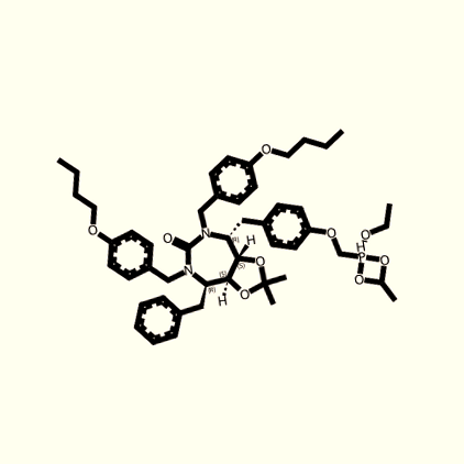 CCCCOc1ccc(CN2C(=O)N(Cc3ccc(OCCCC)cc3)[C@H](Cc3ccc(OC[PH]4(OCC)OC(C)O4)cc3)[C@@H]3OC(C)(C)O[C@H]3[C@H]2Cc2ccccc2)cc1